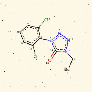 CCC(C)Cn1nnn(-c2c(Cl)cccc2Cl)c1=O